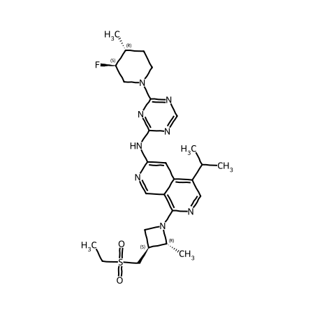 CCS(=O)(=O)C[C@H]1CN(c2ncc(C(C)C)c3cc(Nc4ncnc(N5CC[C@@H](C)[C@H](F)C5)n4)ncc23)[C@@H]1C